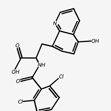 O=C(NC(Cc1ccc(O)c2cccnc12)C(=O)O)c1c(Cl)cccc1Cl